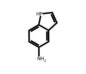 Nc1ccc2[pH]ccc2c1